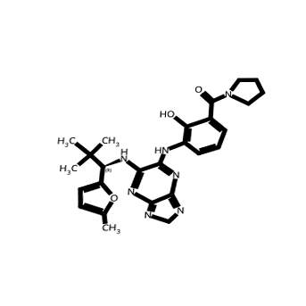 Cc1ccc([C@H](Nc2nc3c(nc2Nc2cccc(C(=O)N4CCCC4)c2O)=NCN=3)C(C)(C)C)o1